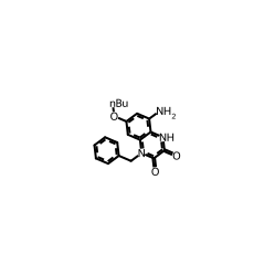 CCCCOc1cc(N)c2[nH]c(=O)c(=O)n(Cc3ccccc3)c2c1